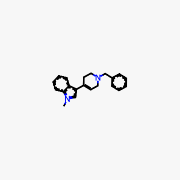 Cn1cc(C2=CCN(Cc3ccccc3)CC2)c2ccccc21